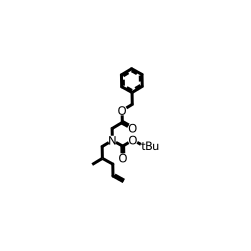 C=CCC(C)CN(CC(=O)OCc1ccccc1)C(=O)OC(C)(C)C